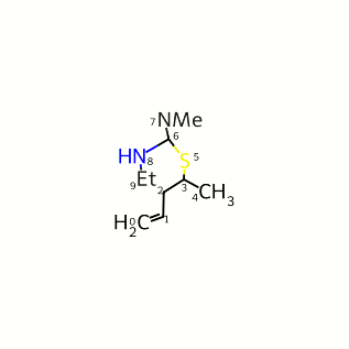 C=CCC(C)SC(NC)NCC